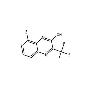 Oc1nc2c(F)cccc2nc1C(F)(F)F